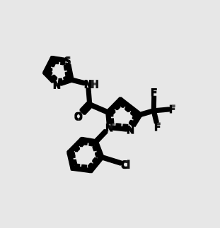 O=C(Nc1nccs1)c1cc(C(F)(F)F)nn1-c1ccccc1Cl